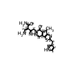 Cn1c2nc(Cc3cc[nH]n3)sc2c2cnn(CC(=N)/C(=C\N)C(N)=O)c(=O)c21